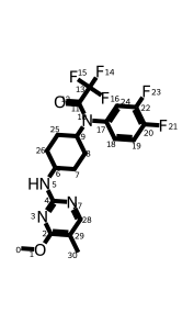 COc1nc(NC2CCC(N(C(=O)C(F)(F)F)c3ccc(F)c(F)c3)CC2)ncc1C